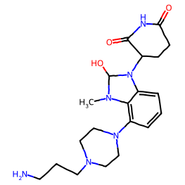 CN1c2c(N3CCN(CCCN)CC3)cccc2N(C2CCC(=O)NC2=O)C1O